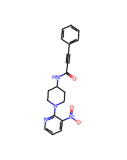 O=C(C#Cc1ccccc1)NC1CCN(c2ncccc2[N+](=O)[O-])CC1